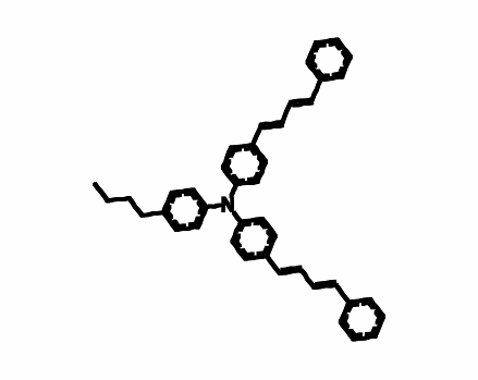 CCCCc1ccc(N(c2ccc(/C=C/C=C/c3ccccc3)cc2)c2ccc(/C=C/C=C/c3ccccc3)cc2)cc1